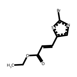 CCOC(=O)/C=C/c1cnc(Br)s1